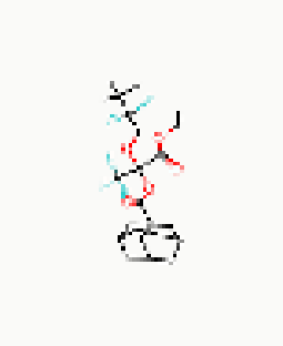 CCOC(=O)C(OCC(F)(F)C(C)(C)C)(OC(=O)C12CC3CC(CC(C3)C1)C2)C(F)(F)F